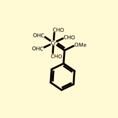 CO[C](c1ccccc1)=[Cr]([CH]=O)([CH]=O)([CH]=O)([CH]=O)[CH]=O